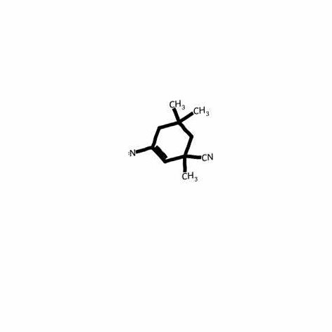 CC1(C#N)C=C([N])CC(C)(C)C1